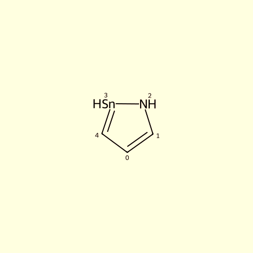 C1=C[NH][SnH]=[CH]1